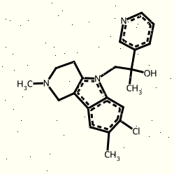 Cc1cc2c3c(n(CC(C)(O)c4cccnc4)c2cc1Cl)CCN(C)C3